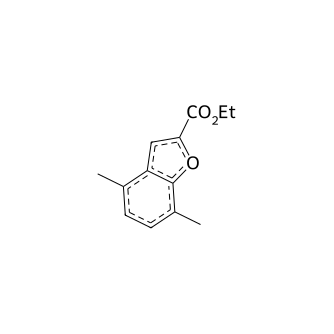 CCOC(=O)c1cc2c(C)ccc(C)c2o1